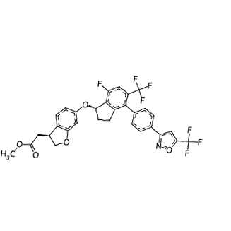 COC(=O)C[C@@H]1COc2cc(O[C@@H]3CCc4c(-c5ccc(-c6cc(C(F)(F)F)on6)cc5)c(C(F)(F)F)cc(F)c43)ccc21